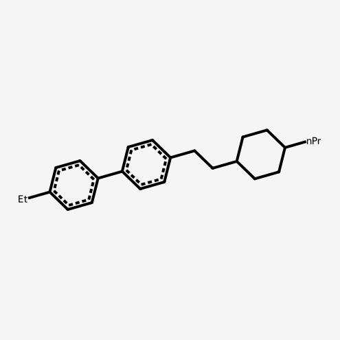 CCCC1CCC(CCc2ccc(-c3ccc(CC)cc3)cc2)CC1